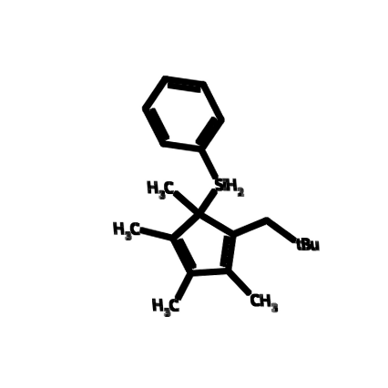 CC1=C(C)C(C)([SiH2]c2ccccc2)C(CC(C)(C)C)=C1C